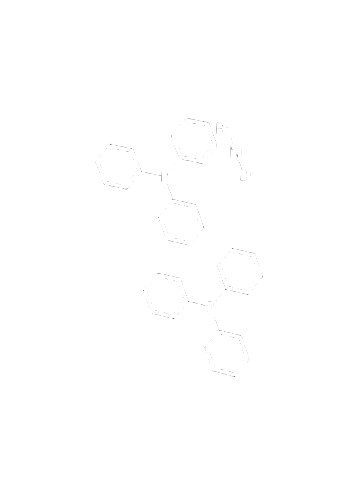 [Br][Ni][Br].c1ccc(P(c2ccccc2)c2ccccc2)cc1.c1ccc(P(c2ccccc2)c2ccccc2)cc1